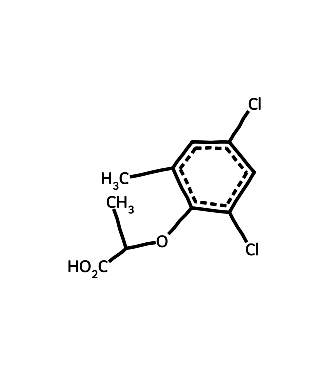 Cc1cc(Cl)cc(Cl)c1OC(C)C(=O)O